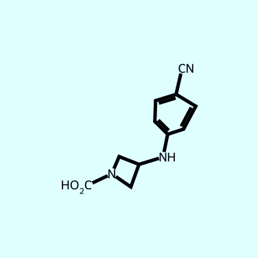 N#Cc1ccc(NC2CN(C(=O)O)C2)cc1